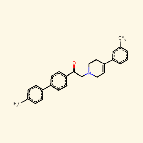 O=C(CN1CC=C(c2cccc(C(F)(F)F)c2)CC1)c1ccc(-c2ccc(C(F)(F)F)cc2)cc1